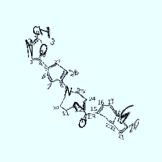 Cc1ncc(-c2ccc(N3CCN(C(=O)c4ccc5sccc5c4)CC3)cc2)o1